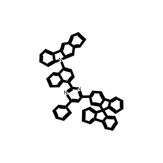 c1ccc(-c2cc(-c3ccc4c(c3)C3(c5ccccc5-c5ccccc53)c3ccccc3-4)nc(-c3ccc(-n4c5ccccc5c5cc6ccccc6cc54)c4ccccc34)n2)cc1